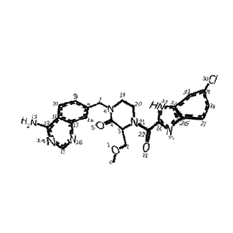 COCC1C(=O)N(Cc2ccc3c(N)ncnc3c2)CCN1C(=O)c1nc2ccc(Cl)cc2[nH]1